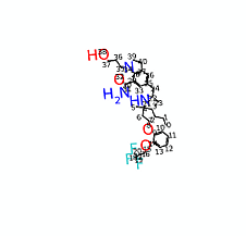 CCCCC(C)(CCOc1ccccc1OCC(F)(F)F)N[C@H](C)Cc1cc2c(c(C(N)=O)c1)N(CCCO)CC2